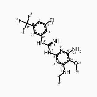 CCNc1nc(NC(=N)Nc2cc(Cl)cc(C(F)(F)F)c2)nc(N)c1OC